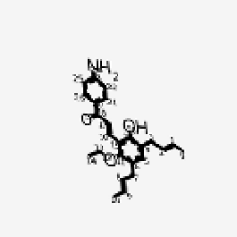 CC=CCc1cc(CC=CC)c(OCC)c(C=CC(=O)c2ccc(N)cc2)c1O